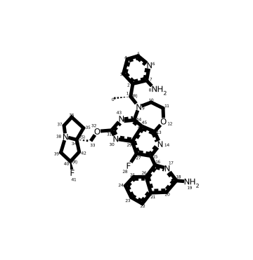 C[C@H](c1cccnc1N)N1CCOc2nc(-c3nc(N)cc4ccccc34)c(F)c3nc(OC[C@@]45CCCN4C[C@H](F)C5)nc1c23